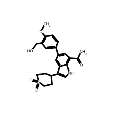 COc1ccc(-c2cc(C(N)=O)c3[nH]cc(C4CCS(=O)(=O)CC4)c3c2)cc1CO